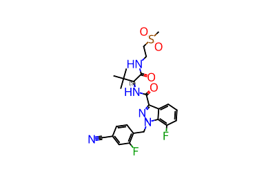 CC(C)(C)[C@H](NC(=O)c1nn(Cc2ccc(C#N)cc2F)c2c(F)cccc12)C(=O)NCCS(C)(=O)=O